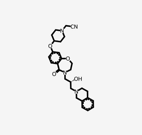 N#CCN1CCC(Oc2ccc3c(c2)OCCN(C[C@H](O)CN2CCc4ccccc4C2)C3=O)CC1